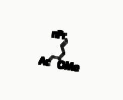 CCCC=CCC(CC(C)=O)OC